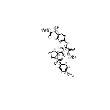 CNC(=O)N(C)c1ccc(C[C@H](NC(=O)[C@@H]2CCCN2S(=O)(=O)c2ccc(C)cc2)C(=O)OC(C)(C)C)cc1